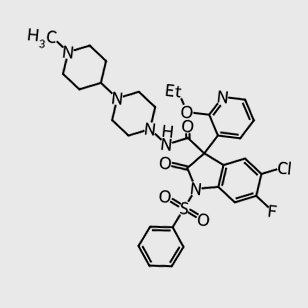 CCOc1ncccc1C1(C(=O)NN2CCN(C3CCN(C)CC3)CC2)C(=O)N(S(=O)(=O)c2ccccc2)c2cc(F)c(Cl)cc21